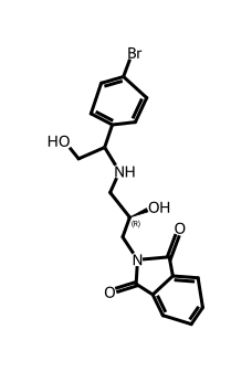 O=C1c2ccccc2C(=O)N1C[C@H](O)CNC(CO)c1ccc(Br)cc1